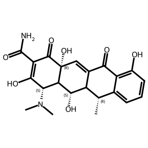 C[C@H]1c2cccc(O)c2C(=O)C2=C[C@]3(O)C(=O)C(C(N)=O)=C(O)[C@@H](N(C)C)C3[C@@H](O)C21